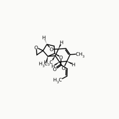 C/C=C\C(=O)O[C@@H]1C[C@H]2O[C@@H]3C=C(C)[C@@H]4O[C@@H]4[C@]3(C)[C@]1(C)C21CO1